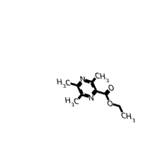 CCOC(=O)c1nc(C)c(C)nc1C